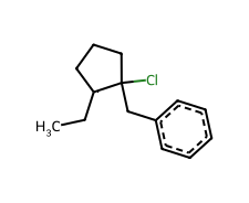 CC[C]1CCCC1(Cl)Cc1ccccc1